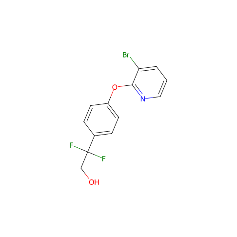 OCC(F)(F)c1ccc(Oc2ncccc2Br)cc1